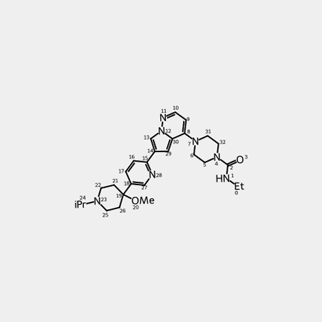 CCNC(=O)N1CCN(c2ccnn3cc(-c4ccc(C5(OC)CCN(C(C)C)CC5)cn4)cc23)CC1